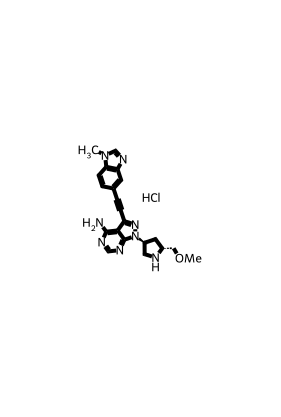 COC[C@H]1C[C@H](n2nc(C#Cc3ccc4c(c3)ncn4C)c3c(N)ncnc32)CN1.Cl